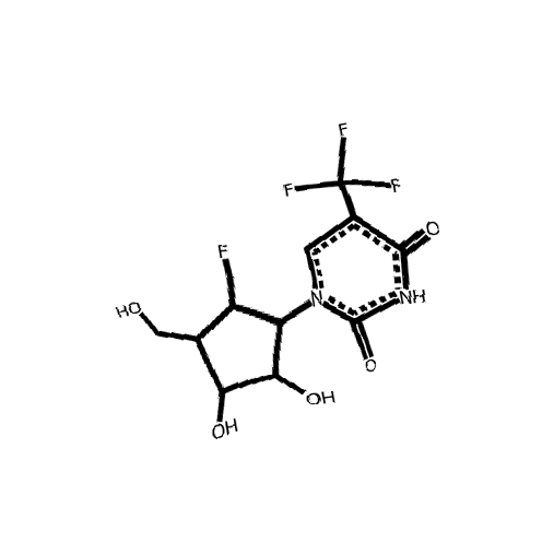 O=c1[nH]c(=O)n(C2C(O)C(O)C(CO)C2F)cc1C(F)(F)F